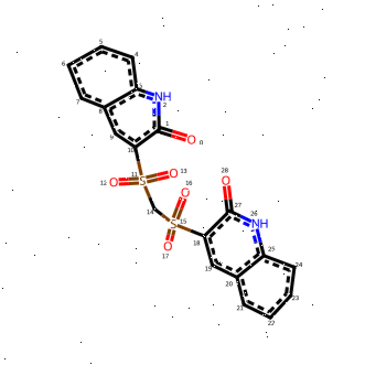 O=c1[nH]c2ccccc2cc1S(=O)(=O)CS(=O)(=O)c1cc2ccccc2[nH]c1=O